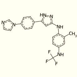 Cc1cc(NC(F)(F)F)ccc1Nc1cc(-c2ccc(-n3ccnc3)cc2)[nH]n1